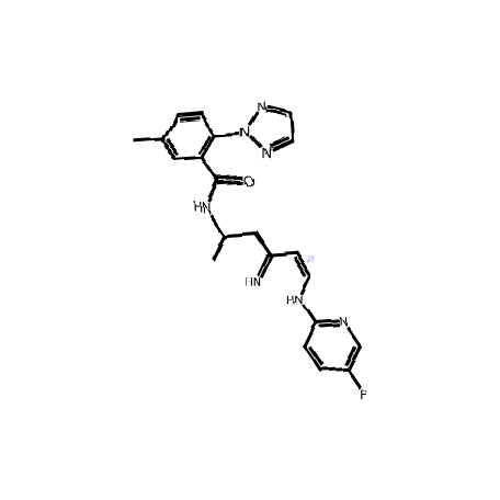 Cc1ccc(-n2nccn2)c(C(=O)NC(C)CC(=N)/C=C\Nc2ccc(F)cn2)c1